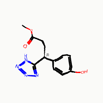 COC(=O)C[C@@H](c1ccc(O)cc1)c1nnn[nH]1